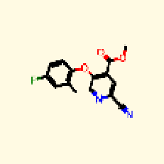 COC(=O)c1cc(C#N)ncc1Oc1ccc(F)cc1C